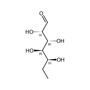 CC[C@H](O)[C@@H](O)[C@@H](O)[C@H](O)C=O